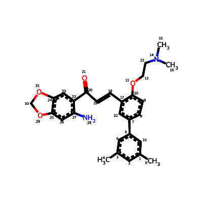 Cc1cc(C)cc(-c2ccc(OCCN(C)C)c(C=CC(=O)c3cc4c(cc3N)OCO4)c2)c1